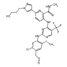 CNC(=O)c1nc(-c2cnn(CCCO)c2)ccc1Nc1nc(Nc2cc(Cl)c(CP=O)cc2OC)ncc1C(F)(F)F